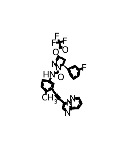 Cc1ccc(NC(=O)N2N=C(OC(=O)C(F)(F)F)C[C@H]2c2cccc(F)c2)cc1C#Cc1cnc2cccnn12